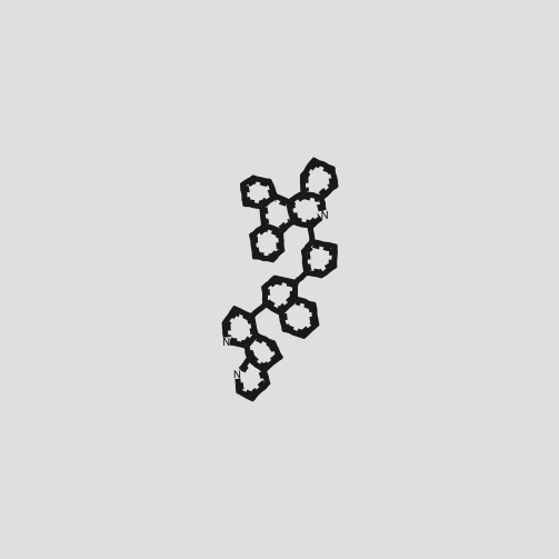 c1cc(-c2ccc(-c3ccnc4c3ccc3cccnc34)c3ccccc23)cc(-c2nc3ccccc3c3c4ccccc4c4ccccc4c23)c1